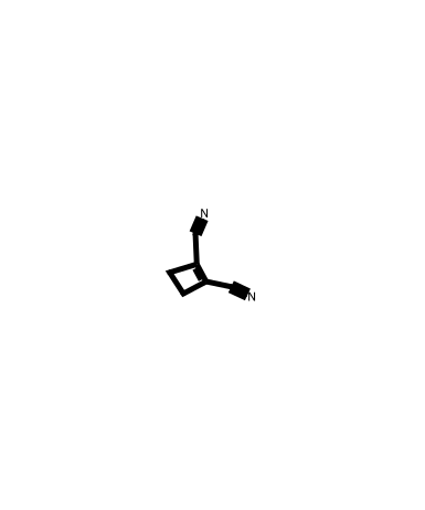 N#CC1=C(C#N)CC1